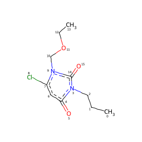 CCCn1c(=O)cc(Cl)n(COCC)c1=O